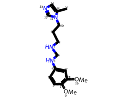 COc1ccc(NCNCCCn2cncc2C)cc1OC